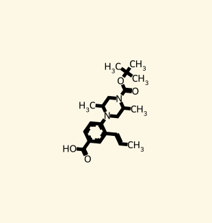 CC=Cc1cc(C(=O)O)ccc1N1CC(C)N(C(=O)OC(C)(C)C)CC1C